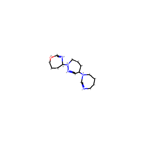 C1=NCCCCN1C1C=NN(C2CCCOC=N2)CCC1